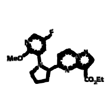 CCOC(=O)c1cnn2ccc(C3CCCN3c3cc(F)cnc3OC)nc12